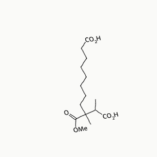 COC(=O)C(C)(CCCCCCCC(=O)O)C(C)C(=O)O